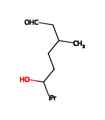 CC(CC=O)CCC(O)C(C)C